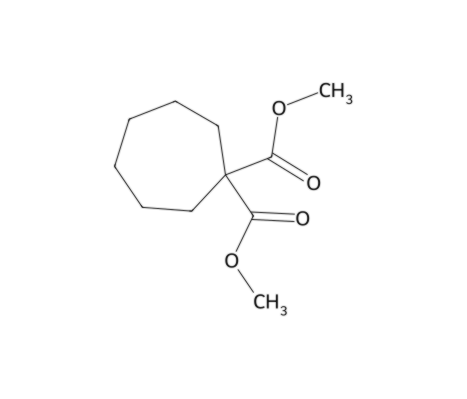 COC(=O)C1(C(=O)OC)CCCCCC1